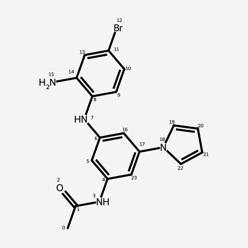 CC(=O)Nc1cc(Nc2ccc(Br)cc2N)cc(-n2cccc2)c1